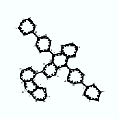 c1ccc(-c2ccc(-c3c4ccccc4c(-c4ccc(-c5ccccc5)cc4)c4cc(-c5cccc6oc7ccccc7c56)ccc34)cc2)cc1